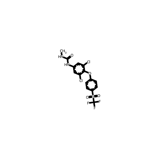 CNC(=O)Nc1cc(Cl)c(Oc2ccc(S(=O)(=O)C(F)(F)F)cc2)c(Cl)c1